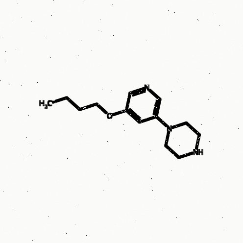 CCCCOc1cncc(N2CCNCC2)c1